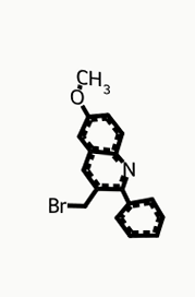 COc1ccc2nc(-c3ccccc3)c(CBr)cc2c1